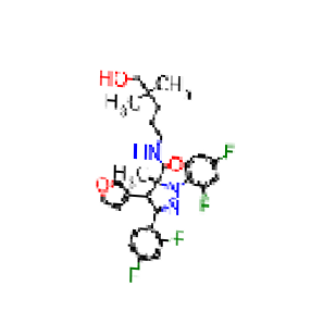 CC(C)(CO)CCCNC(=O)C1(C)C(c2ccoc2)C(c2ccc(F)cc2F)=NN1c1ccc(F)cc1F